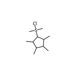 CC1C(C)C(C)C(S(C)(C)Cl)C1C